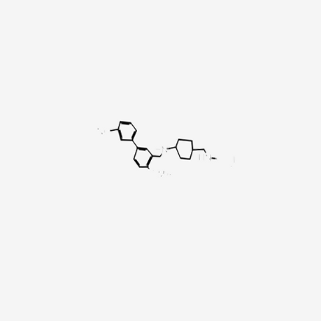 COc1ccc(-c2cccc(C#N)c2)cc1CNC1CCC(CNC(=O)O)CC1